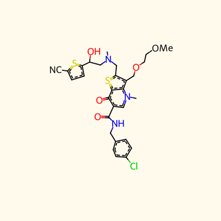 COCCOCc1c(CN(C)CC(O)c2ccc(C#N)s2)sc2c(=O)c(C(=O)NCc3ccc(Cl)cc3)cn(C)c12